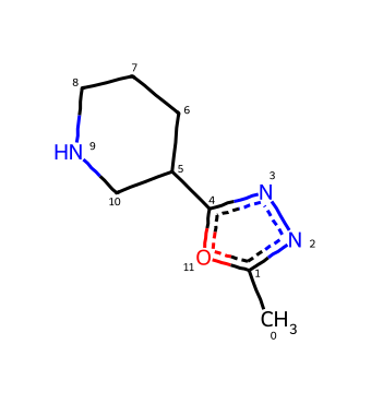 Cc1nnc(C2CCCNC2)o1